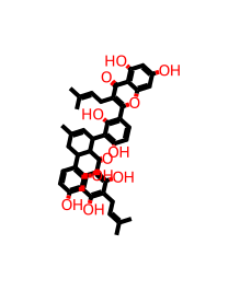 CC(C)=CCc1c(O)ccc(C(=O)C2C(c3c(O)ccc(-c4oc5cc(O)cc(O)c5c(=O)c4CC=C(C)C)c3O)C=C(C)CC2c2ccc(O)cc2O)c1O